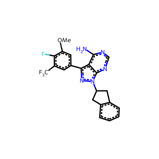 COc1cc(-c2nn(C3Cc4ccccc4C3)c3ncnc(N)c23)cc(C(F)(F)F)c1F